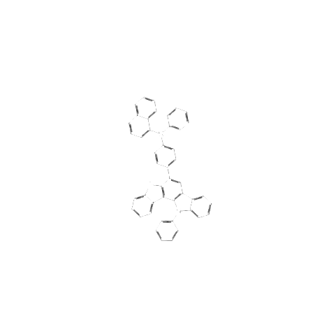 c1ccc(N(c2ccc(-c3cc4c5ccccc5n(-c5ccccc5)c4c4c3sc3ccccc34)cc2)c2cccc3ccccc23)cc1